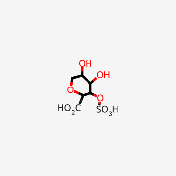 O=C(O)C1OCC(O)C(O)C1OS(=O)(=O)O